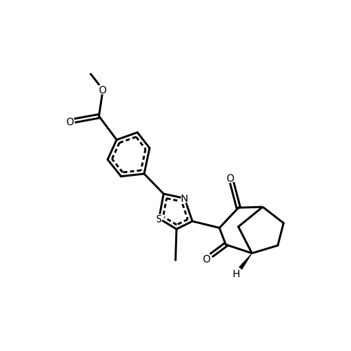 COC(=O)c1ccc(-c2nc(C3C(=O)C4CC[C@@H](C4)C3=O)c(C)s2)cc1